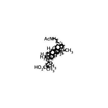 C=C(C)[C@@H]1CC[C@]2(CCCNC(C)=O)CC[C@]3(C)[C@H](CC[C@@H]4[C@@]5(C)CC[C@H](OC(=O)CC(C)(C)C(=O)O)C(C)(C)[C@@H]5CC[C@]43C)[C@@H]12